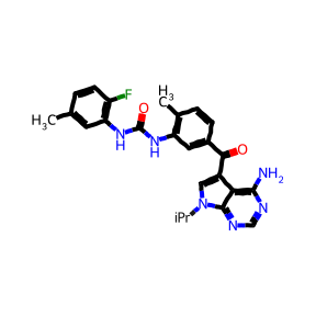 Cc1ccc(F)c(NC(=O)Nc2cc(C(=O)c3cn(C(C)C)c4ncnc(N)c34)ccc2C)c1